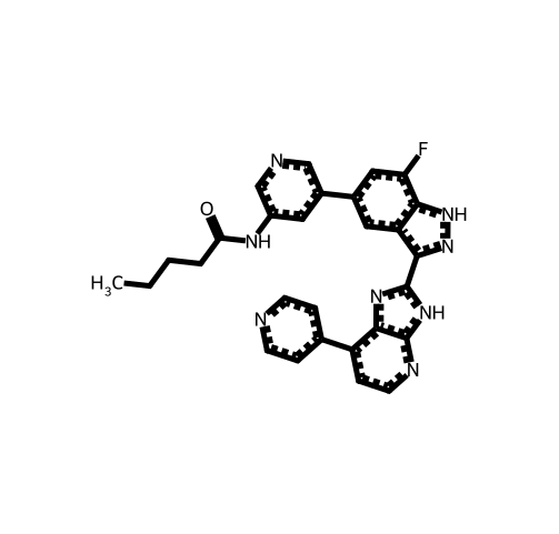 CCCCC(=O)Nc1cncc(-c2cc(F)c3[nH]nc(-c4nc5c(-c6ccncc6)ccnc5[nH]4)c3c2)c1